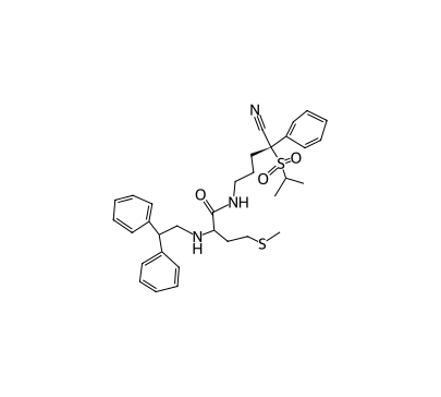 CSCCC(NCC(c1ccccc1)c1ccccc1)C(=O)NCCC[C@@](C#N)(c1ccccc1)S(=O)(=O)C(C)C